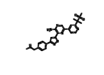 CNCc1ccc(-c2cc(-c3nc(-c4ccnc(C(C)(C)S(C)(=O)=O)c4)cnc3N)on2)cc1